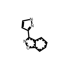 C1=CC(c2noc3ccccc23)=N[N]1